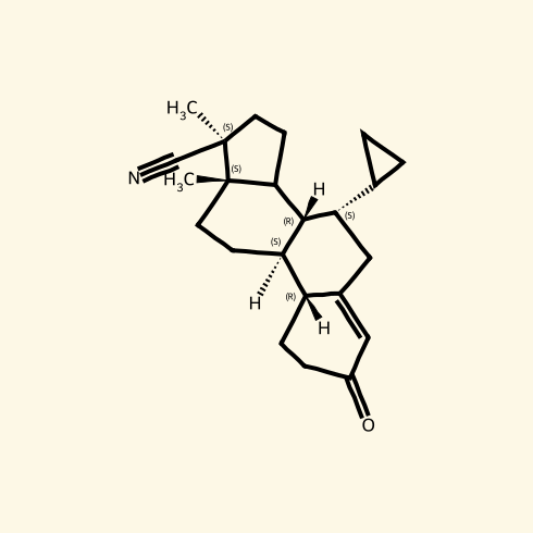 C[C@]1(C#N)CCC2[C@H]3[C@H](CC[C@@]21C)[C@H]1CCC(=O)C=C1C[C@H]3C1CC1